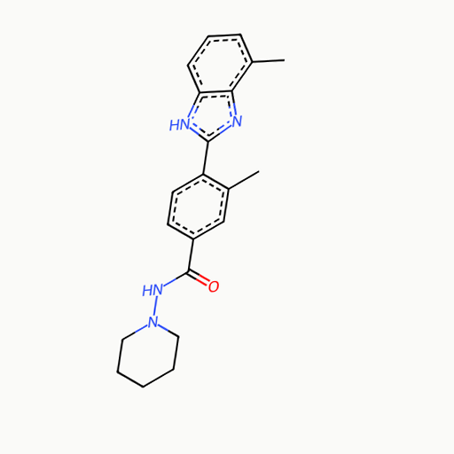 Cc1cc(C(=O)NN2CCCCC2)ccc1-c1nc2c(C)cccc2[nH]1